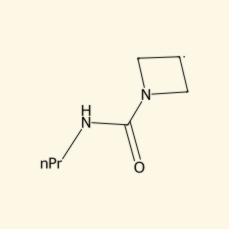 CCCNC(=O)N1C[CH]C1